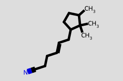 CC1CCC(C/C=C/CCC#N)C1(C)C